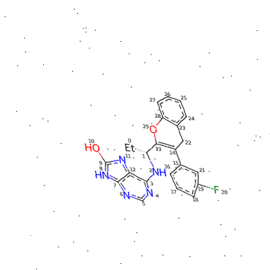 CC[C@@H](Nc1ncnc2[nH]c(O)nc12)C1=C(c2cccc(F)c2)Cc2ccccc2O1